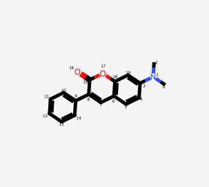 CN(C)c1ccc2cc(-c3ccccc3)c(=O)oc2c1